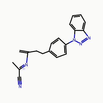 C=C(CCc1ccc(-n2nnc3ccccc32)cc1)/N=C(\C)C#N